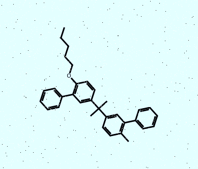 CCCCCOc1ccc(C(C)(C)c2ccc(C)c(-c3ccccc3)c2)cc1-c1ccccc1